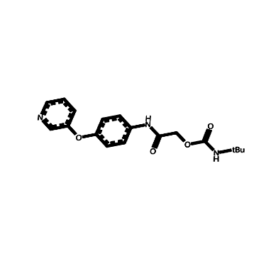 CC(C)(C)NC(=O)OCC(=O)Nc1ccc(Oc2cccnc2)cc1